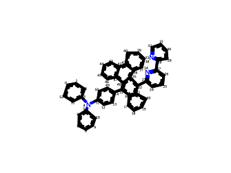 c1ccc(N(c2ccccc2)c2ccc(-c3c4ccccc4c(-c4cccc(-c5ccccn5)n4)c4c5ccccc5c5ccccc5c34)cc2)cc1